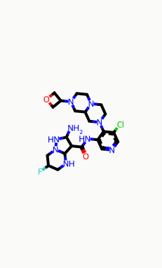 NC1NN2CC(F)CNC2C1C(=O)Nc1cncc(Cl)c1N1CCN2CCN(C3COC3)CC2C1